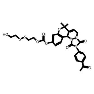 CC(=O)c1ccc(-n2c(=O)n3n(c2=O)C2C(=CC3)C(C)(C)Oc3cc(OC(=O)OCCSSCCO)ccc32)cc1